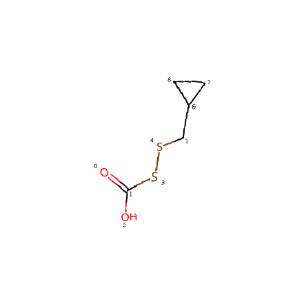 O=C(O)SSCC1CC1